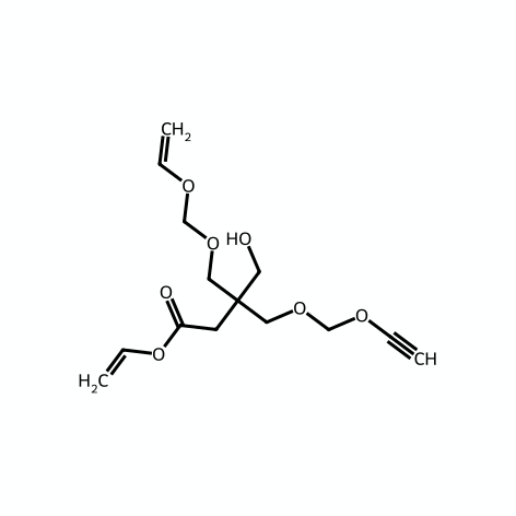 C#COCOCC(CO)(COCOC=C)CC(=O)OC=C